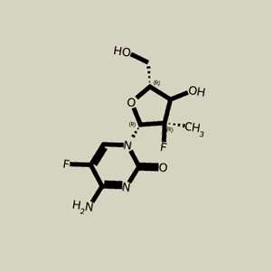 C[C@@]1(F)C(O)[C@@H](CO)O[C@H]1n1cc(F)c(N)nc1=O